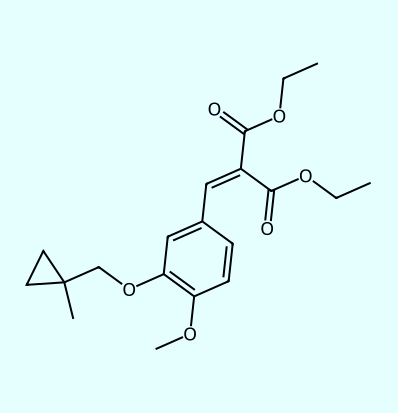 CCOC(=O)C(=Cc1ccc(OC)c(OCC2(C)CC2)c1)C(=O)OCC